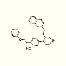 Cl.c1ccc(SCCc2ccc(C3CCNCC3OCc3ccc4ccccc4c3)cc2)cc1